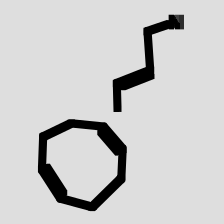 C/C=C/[CH2][Ni].C1=C\CC/C=C\CC/1